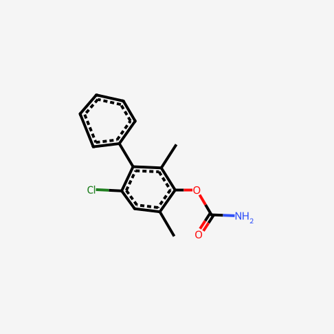 Cc1cc(Cl)c(-c2ccccc2)c(C)c1OC(N)=O